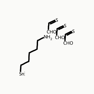 NCCCC[CH2][Sn].O=CC=S.O=CC=S.O=CC=S